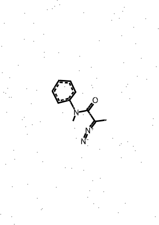 CC(=[N+]=[N-])C(=O)N(C)c1ccccc1